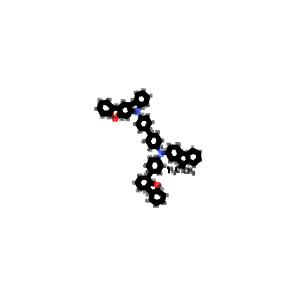 CC1(C)c2ccccc2-c2ccc(N(c3ccc(-c4ccc(-n5c6ccccc6c6cc7c(cc65)oc5ccccc57)cc4)cc3)c3ccc(-c4cccc5c4oc4ccccc45)cc3)cc21